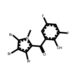 Cn1c(Br)c(Br)c(Br)c1C(=O)c1cc(F)cc(F)c1O